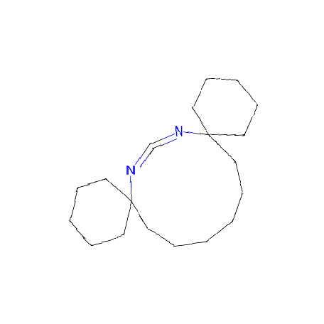 C1=NC2(CCCCCCC3(CCCCC3)N=1)CCCCC2